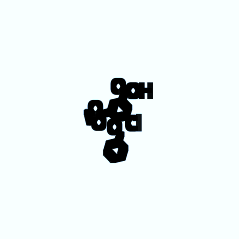 O=C(O)c1cc(Cl)c(OCc2ccccc2)c(C2OCCO2)c1